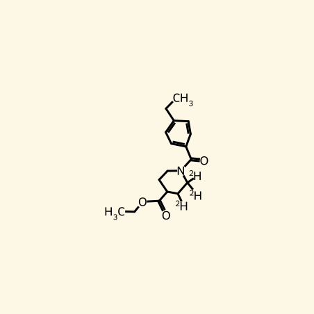 [2H]C1C(C(=O)OCC)CCN(C(=O)c2ccc(CC)cc2)C1([2H])[2H]